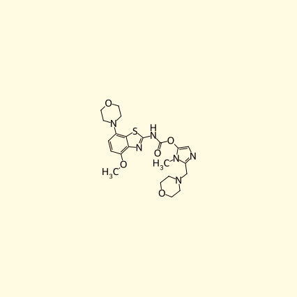 COc1ccc(N2CCOCC2)c2sc(NC(=O)Oc3cnc(CN4CCOCC4)n3C)nc12